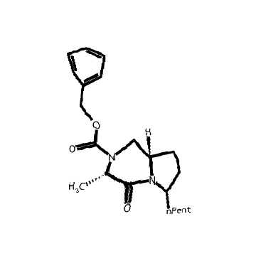 CCCCCC1CC[C@H]2CN(C(=O)OCc3ccccc3)[C@@H](C)C(=O)N12